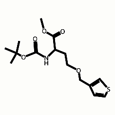 COC(=O)C(CCOCc1ccsc1)NC(=O)OC(C)(C)C